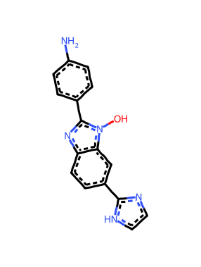 Nc1ccc(-c2nc3ccc(-c4ncc[nH]4)cc3n2O)cc1